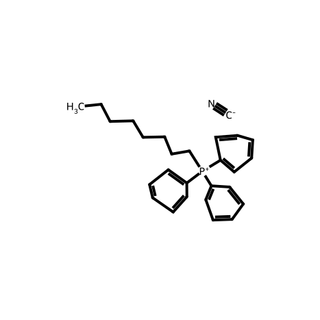 CCCCCCCC[P+](c1ccccc1)(c1ccccc1)c1ccccc1.[C-]#N